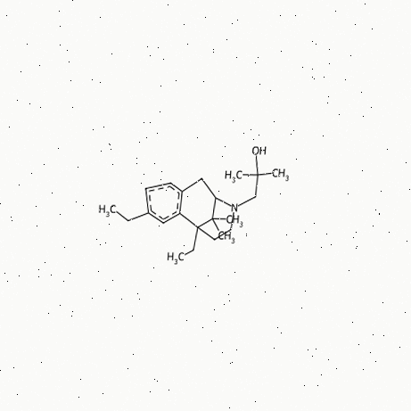 CCc1ccc2c(c1)C1(CC)CCN(CC(C)(C)O)C(C2)C1(C)C